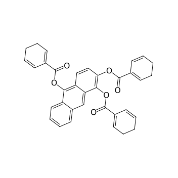 O=C(Oc1ccc2c(OC(=O)C3=CCCC=C3)c3ccccc3cc2c1OC(=O)C1=CCCC=C1)C1=CCCC=C1